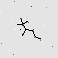 [CH2]C(C)(C)C(C)CCC